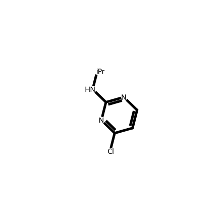 CC(C)Nc1nccc(Cl)n1